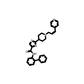 O=C(Nc1ccccc1-c1ccccc1)c1csc(C2CCN(C/C=C\c3ccncc3)CC2)n1